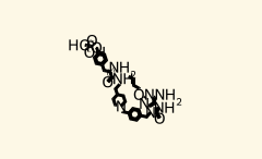 CCCCOc1nc(N)c2[nH]c(=O)n(Cc3ccc(CN4CCC(CCNC(=O)[C@@H](N)Cc5ccc(OP(=O)(O)O)cc5)CC4)cc3)c2n1